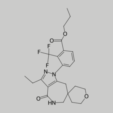 CCCOC(=O)c1cccc(-n2nc(CC)c3c2CC2(CCOCC2)CNC3=O)c1C(F)(F)F